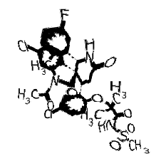 CC(=O)N1C(=O)[C@]2(c3ccc(Cl)cc31)[C@@H](c1cc(Cl)ccc1OC(C)(C)C(=O)NS(C)(=O)=O)CC(=O)N[C@H]2c1cc(F)ccc1C